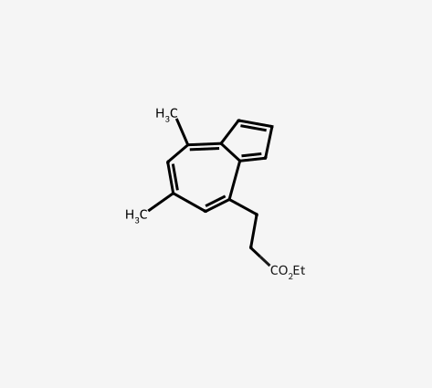 CCOC(=O)CCc1cc(C)cc(C)c2cccc1-2